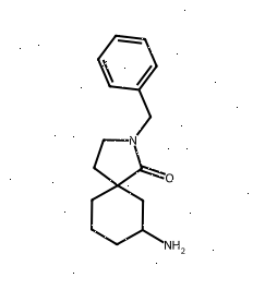 NC1CCCC2(CCN(Cc3ccccc3)C2=O)C1